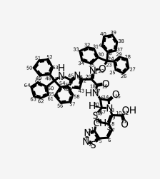 Cc1nnsc1/C=C\C1=C(C(=O)O)N2C(=O)C(NC(=O)/C(=N\OC(c3ccccc3)(c3ccccc3)c3ccccc3)c3csc(NC(c4ccccc4)(c4ccccc4)c4ccccc4)n3)[C@H]2SC1